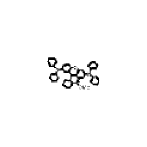 COC(=O)c1ccccc1C1c2ccc(N(c3ccccc3)c3ccccc3)cc2Oc2ccc(N(c3ccccc3)c3ccccc3)cc21